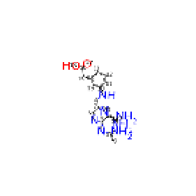 C=C(N)/N=C1/N=CC(CNc2cccc(CC(=O)O)c2)=NC1=C(N)N